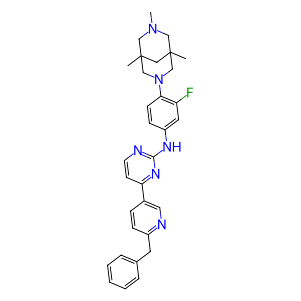 CN1CC2(C)CN(c3ccc(Nc4nccc(-c5ccc(Cc6ccccc6)nc5)n4)cc3F)CC(C)(C1)C2